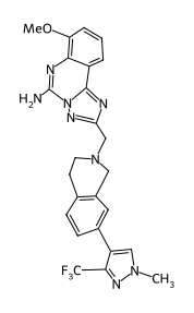 COc1cccc2c1nc(N)n1nc(CN3CCc4ccc(-c5cn(C)nc5C(F)(F)F)cc4C3)nc21